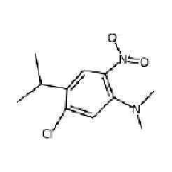 CC(C)c1cc([N+](=O)[O-])c(N(C)C)cc1Cl